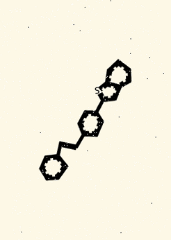 C(=Cc1ccc(-c2cc3ccccc3s2)cc1)c1ccccc1